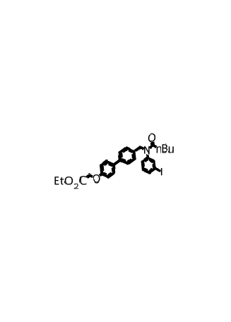 CCCCC(=O)N(Cc1ccc(-c2ccc(OCC(=O)OCC)cc2)cc1)c1cccc(I)c1